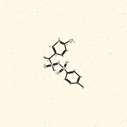 Cc1ccc(S(=O)(=O)N=S(C)(=O)C(C)c2ccc(C(F)(F)F)nc2)cc1